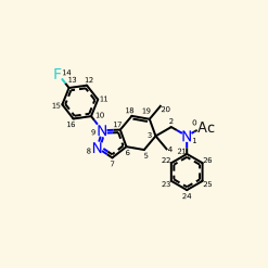 CC(=O)N(CC1(C)Cc2cnn(-c3ccc(F)cc3)c2C=C1C)c1ccccc1